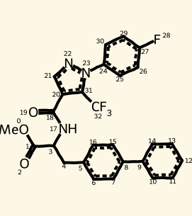 COC(=O)C(Cc1ccc(-c2ccccc2)cc1)NC(=O)c1cnn(-c2ccc(F)cc2)c1C(F)(F)F